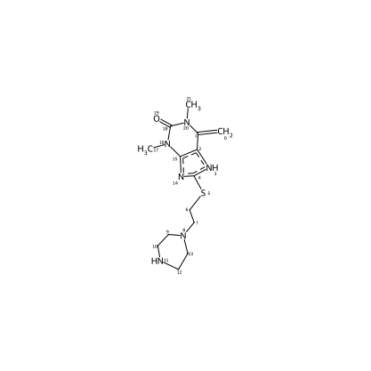 C=C1c2[nH]c(SCCN3CCNCC3)nc2N(C)C(=O)N1C